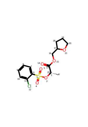 C[C@H](OS(=O)(=O)c1ccccc1Cl)C(=O)OCC1CCCO1